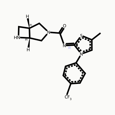 Cc1cn(-c2ccc(C(F)(F)F)cc2)/c(=N/C(=O)N2C[C@H]3CN[C@H]3C2)s1